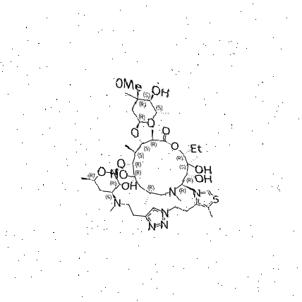 CC[C@H]1OC(=O)[C@H](C)[C@@H](O[C@H]2C[C@@](C)(OC)[C@@H](O)[C@H](C)O2)[C@H](C)[C@@H](O[C@@H]2O[C@H](C)C[C@H](N(C)CCc3cn(CCc4ncsc4C)nn3)[C@H]2O)[C@](C)(O)C[C@@H](C)CN(C)[C@H](C)[C@@H](O)[C@]1(C)O